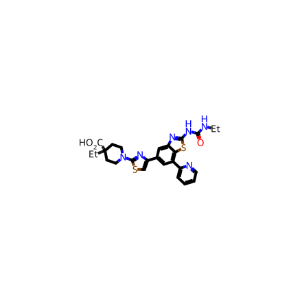 CCNC(=O)Nc1nc2cc(-c3csc(N4CCC(CC)(C(=O)O)CC4)n3)cc(-c3ccccn3)c2s1